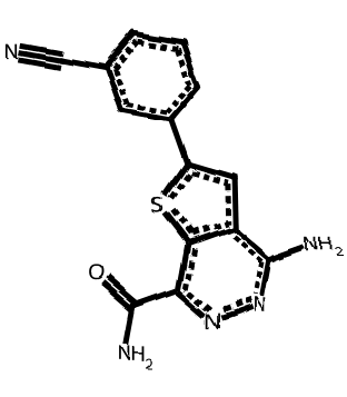 N#Cc1cccc(-c2cc3c(N)nnc(C(N)=O)c3s2)c1